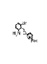 Nc1cccc(Br)c1COc1ccn(O)n1